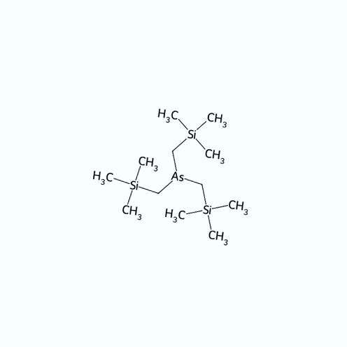 C[Si](C)(C)C[As](C[Si](C)(C)C)C[Si](C)(C)C